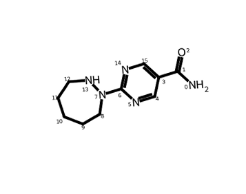 NC(=O)c1cnc(N2CCCCCN2)nc1